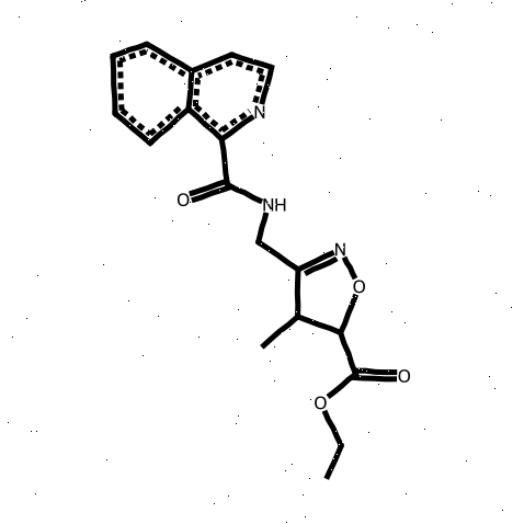 CCOC(=O)C1ON=C(CNC(=O)c2nccc3ccccc23)C1C